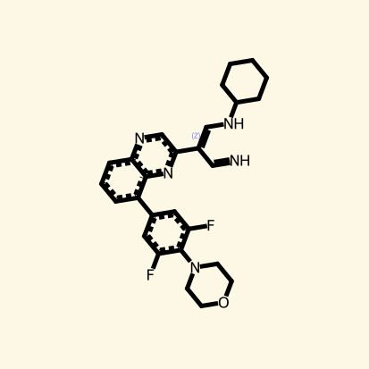 N=C/C(=C\NC1CCCCC1)c1cnc2cccc(-c3cc(F)c(N4CCOCC4)c(F)c3)c2n1